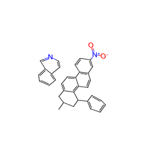 CC1Cc2ccc3c(ccc4cc([N+](=O)[O-])ccc43)c2C(c2ccccc2)C1.c1ccc2cnccc2c1